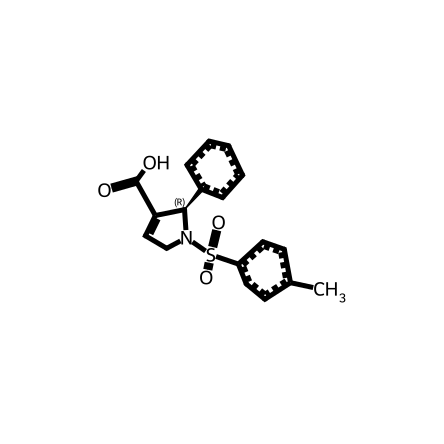 Cc1ccc(S(=O)(=O)N2CC=C(C(=O)O)[C@H]2c2ccccc2)cc1